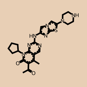 CC(=O)c1c(C)c2cnc(Nc3cn4cc(N5CCNCC5)sc4n3)nc2n(C2CCCC2)c1=O